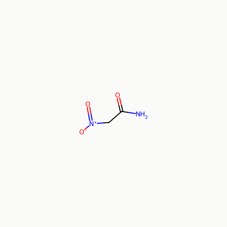 NC(=O)C[N+](=O)[O-]